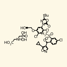 C#CCOc1cc(-n2nc(C(C)(C)C)oc2=O)c(Cl)cc1Cl.CS(=O)(=O)c1cc(Cl)ccc1C(=O)c1cnoc1C1CC1.O=C(O)CNCP(=O)(O)O